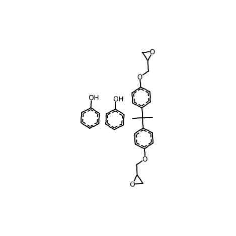 CC(C)(c1ccc(OCC2CO2)cc1)c1ccc(OCC2CO2)cc1.Oc1ccccc1.Oc1ccccc1